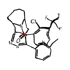 Cc1cccc(-c2nnc3n2CC2CCCC3N2C(=O)c2cccc(C(F)(F)F)c2Cl)n1